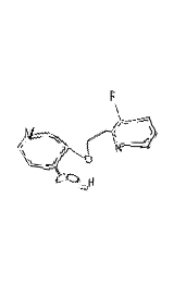 O=C(O)c1ccncc1OCc1ncccc1F